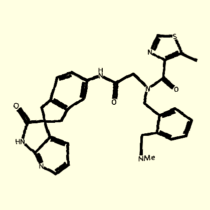 CNCc1ccccc1CN(CC(=O)Nc1ccc2c(c1)CC1(C2)C(=O)Nc2ncccc21)C(=O)c1ncsc1C